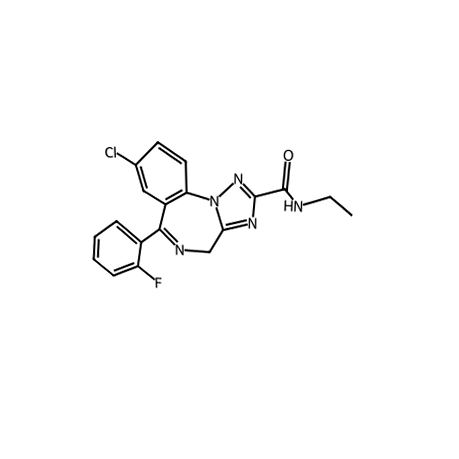 CCNC(=O)c1nc2n(n1)-c1ccc(Cl)cc1C(c1ccccc1F)=NC2